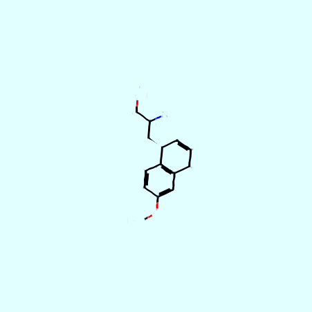 CCCCCCCOc1ccc2c(c1)CC=C[C@@H]2CC(N)CO